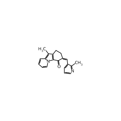 Cc1ncccc1C=C1CCc2c(C)c3ccccn3c2C1=O